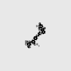 CN1C[C@H](Nc2nc3sccn3c(=O)c2Br)C[C@H](c2ccc(OCC3CCN(c4cccc5c4C(=O)N(C4CCC(=O)NC4=O)C5=O)C3)cc2)C1